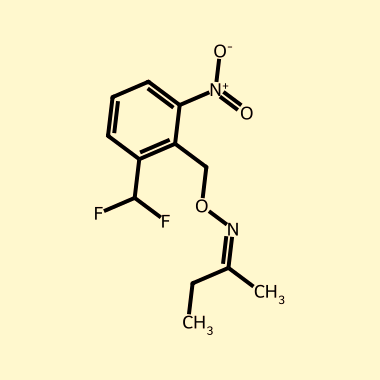 CCC(C)=NOCc1c(C(F)F)cccc1[N+](=O)[O-]